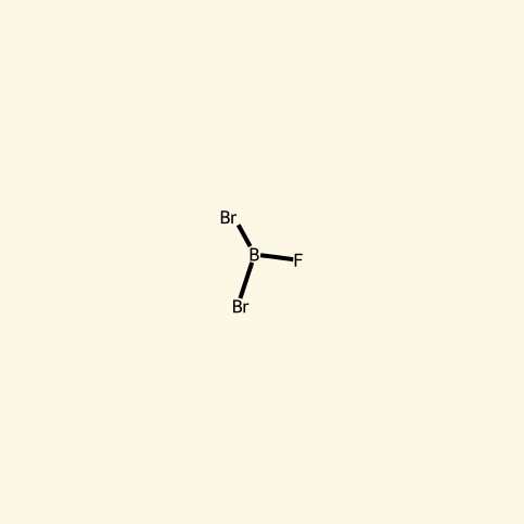 FB(Br)Br